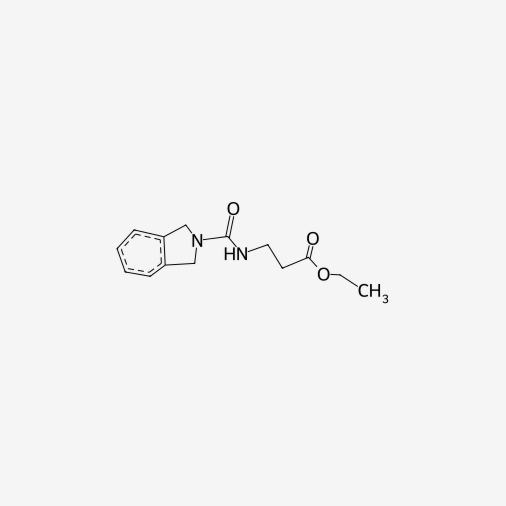 CCOC(=O)CCNC(=O)N1Cc2ccccc2C1